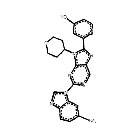 Nc1ccc2ncn(-c3ncc4nc(-c5cccc(O)c5)n(C5CCOCC5)c4n3)c2c1